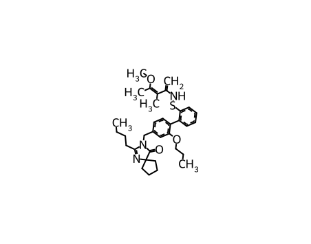 C=C(NSc1ccccc1-c1ccc(CN2C(=O)C3(CCCC3)N=C2CCCC)cc1OCCC)/C(C)=C(/C)OC